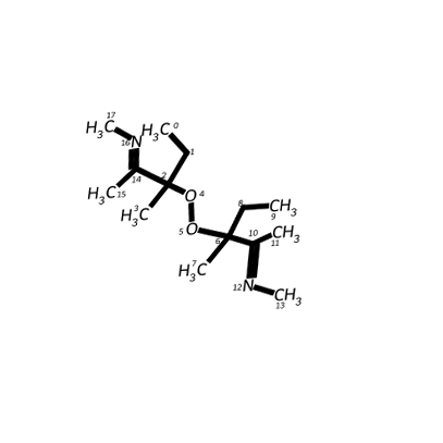 CCC(C)(OOC(C)(CC)C(C)=NC)C(C)=NC